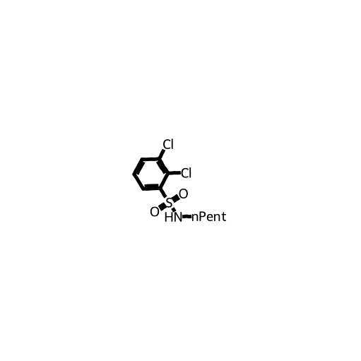 CCCCCNS(=O)(=O)c1cccc(Cl)c1Cl